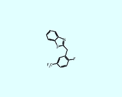 Fc1ccc(C(F)(F)F)cc1Cc1nc2ccccc2s1